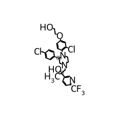 C[C@@](O)(CN1CCN(c2ccc(OCCO)cc2Cl)[C@H](c2ccc(Cl)cc2)C1)c1ccc(C(F)(F)F)nc1